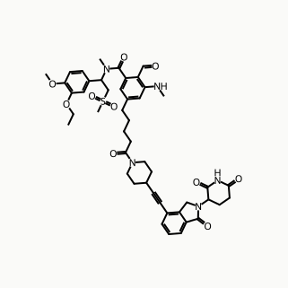 CCOc1cc(C(CS(C)(=O)=O)N(C)C(=O)c2cc(CCCCC(=O)N3CCC(C#Cc4cccc5c4CN(C4CCC(=O)NC4=O)C5=O)CC3)cc(NC)c2C=O)ccc1OC